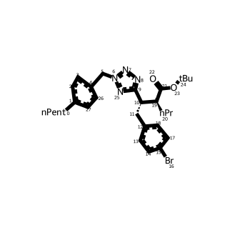 CCCCCc1ccc(Cn2nnc([C@@H](Cc3ccc(Br)cc3)[C@H](CCC)C(=O)OC(C)(C)C)n2)cc1